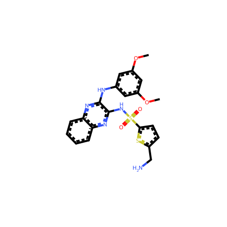 COc1cc(Nc2nc3ccccc3nc2NS(=O)(=O)c2ccc(CN)s2)cc(OC)c1